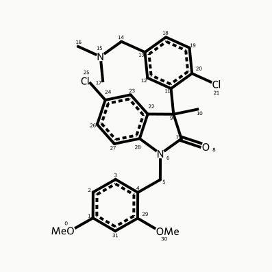 COc1ccc(CN2C(=O)C(C)(c3cc(CN(C)C)ccc3Cl)c3cc(Cl)ccc32)c(OC)c1